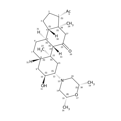 CC(=O)[C@H]1CC[C@H]2[C@@H]3CC[C@H]4C[C@H](O)[C@@H](N5C[C@@H](C)O[C@@H](C)C5)C[C@]4(C)[C@H]3C(=O)C[C@]12C